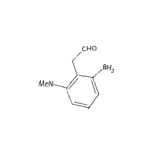 Bc1cccc(NC)c1CC=O